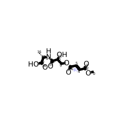 COC(=O)/C=C/C(=O)OCC(O)C(=O)N[C@@H](C)C(=O)O